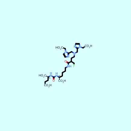 O=C(O)CC[C@H](NC(=O)N[C@@H](CCCCNC(=O)C(CF)CCN(Cc1nccn1CC(=O)O)Cc1nccn1CC(=O)O)C(=O)O)C(=O)O